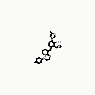 Cc1cn(-c2ccc(/C=C3\CCCN4C3=NCCN4c3ccc(F)cc3)c(C=N)c2O)cn1